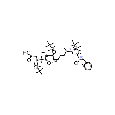 CC[C@@H](C(=O)C(C)(C)[C@H](CC(=O)O)O[Si](C)(C)C(C)(C)C)[C@@H](O[Si](C)(C)C(C)(C)C)[C@@H](C)CCC/C(C)=C\C[C@H](O[Si](C)(C)C(C)(C)C)/C(Cl)=C/c1ccccn1